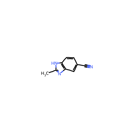 Cc1nc2cc(C#N)ccc2[nH]1